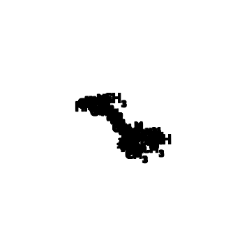 CCNS(=O)(=O)N(C)c1cccc(F)c1OC(C(C#N)Cc1ccc2nc[nH]c(=O)c2c1)C1CCN(C(=O)CN2CCC(c3ccc4c(C5CCC(=O)NC5=O)nn(C)c4c3)CC2)CC1